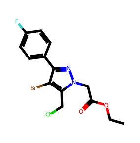 CCOC(=O)Cn1nc(-c2ccc(F)cc2)c(Br)c1CCl